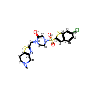 CN1CCc2sc(CN3CCN(S(=O)(=O)c4cc5ccc(Cl)cc5s4)CC3=O)nc2C1